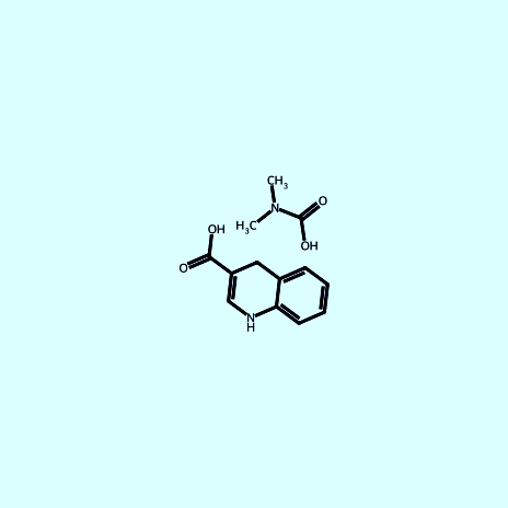 CN(C)C(=O)O.O=C(O)C1=CNc2ccccc2C1